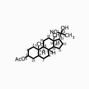 CC(=O)OC1CC[C@@]2(C)C(CC[C@H]3[C@@H]4CC[C@H](C(C)(O)C#N)[C@@]4(C)CC[C@@H]32)C1